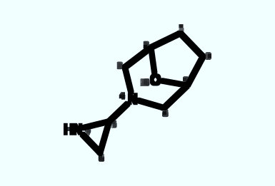 C1CC2CN(C3CN3)CC1O2